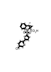 C[C@]1(c2ccccc2)C[C@@]1(NS(=O)(=O)c1ccc(-c2ccc(Cl)cn2)s1)C(=O)O